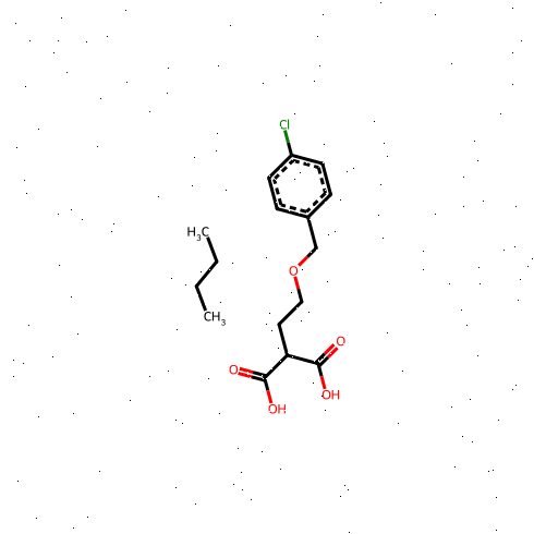 CCCC.O=C(O)C(CCOCc1ccc(Cl)cc1)C(=O)O